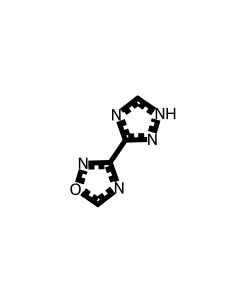 c1nc(-c2ncon2)n[nH]1